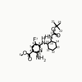 COC(=O)c1cc(F)c(NC2CCCCC2NC(=O)OC(C)(C)C)nc1N